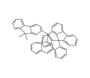 CC1(C)c2ccccc2-c2ccc(N(c3cccc4c3C3(c5ccccc5-c5ccccc53)c3ccccc3-4)c3cccc4ccccc34)cc21